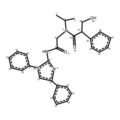 CC(C)N(CC(=O)Nc1nc(-c2ccccc2)cn1-c1ccccc1)C(=O)C(CO)c1ccccc1